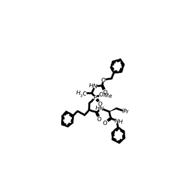 COP(=O)(CC(CCc1ccccc1)C(=O)N[C@@H](CC(C)C)C(=O)Nc1ccccc1)C(C)NC(=O)OCc1ccccc1